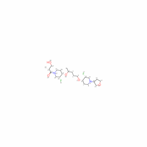 CC(CCCO[C@H]1CCN(C2CCOC2)C[C@H]1F)O[C@H]1CCN(C(=O)[C@H](C)CO)C[C@H]1F